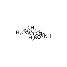 Cc1cn2nc(-c3cc(N)c4c(=O)n(C5CCNCC5)ncc4c3)cc(C)c2n1